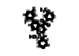 O=C(O)C1(C[C@H]2CN(S(=O)(=O)c3cccc(C(F)(F)F)c3)c3cc(-c4cc(F)ccc4F)ccc3O2)CCOCC1